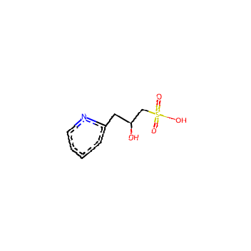 O=S(=O)(O)CC(O)Cc1ccccn1